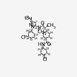 CC(C(=O)N(C)c1cc(C(C)(C)C)nn1-c1cccc(Cl)c1)c1ccc(C(=O)Nc2ccc(Cl)cc2)cc1